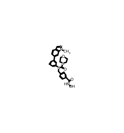 Cn1ncc2ccc(-c3cccc(N(Cc4ccc(C(=O)NO)cc4)C(=O)N4CCOCC4)c3)cc21